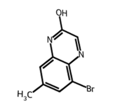 Cc1cc(Br)c2ncc(O)nc2c1